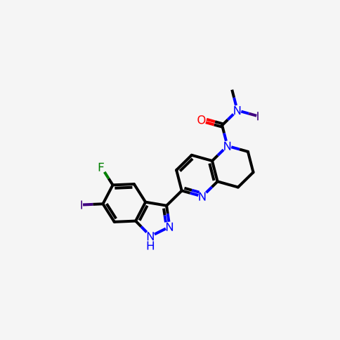 CN(I)C(=O)N1CCCc2nc(-c3n[nH]c4cc(I)c(F)cc34)ccc21